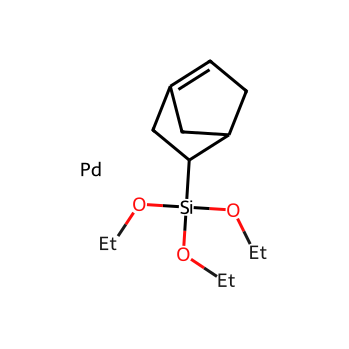 CCO[Si](OCC)(OCC)C1CC2=CCC1C2.[Pd]